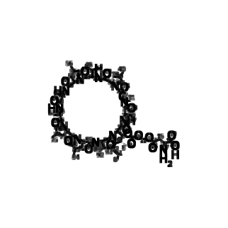 C/C=C/C[C@@H](C)C(OC(=O)OCOC(=O)CC(N)C(=O)O)C1C(=O)NC(CC)C(=O)N(C)CC(=O)N(C)[C@@H](CC(C)C)C(=O)NC(C(C)C)C(=O)N(C)C(CC(C)C)C(=O)NC(C)C(=O)NC(C)C(=O)N(C)C(CC(C)C)C(=O)N(C)C(CC(C)C)C(=O)N(C)C(C(C)C)C(=O)N1C